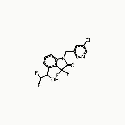 O=C1N(Cc2cncc(Cl)c2)c2cccc(C(O)C(F)F)c2C1(F)F